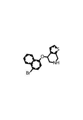 Brc1ccc(OC2CNCc3sccc32)c2ccccc12